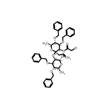 C=CC[C@@]1(O[C@@H]2[C@H](OCc3ccccc3)[C@@H](OCc3ccccc3)[C@H](C)O[C@H]2O)O[C@@H](C)[C@H](OCc2ccccc2)[C@@H](OCc2ccccc2)[C@H]1OC(=O)CCl